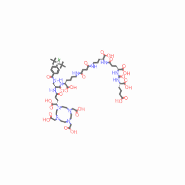 CC(C)(C)[Si](F)(c1ccc(C(=O)NC[C@H](NC(=O)CC[C@@H](C(=O)O)N2CCN(CC(=O)O)CCN(CC(=O)O)CCN(CC(=O)O)CC2)C(=O)N[C@@H](CCCCNC(=O)CCC(=O)NCCC[C@H](NC(=O)CC[C@H](NC(=O)N[C@@H](CCCC(=O)O)C(=O)O)C(=O)O)C(=O)O)C(=O)O)cc1)C(C)(C)C